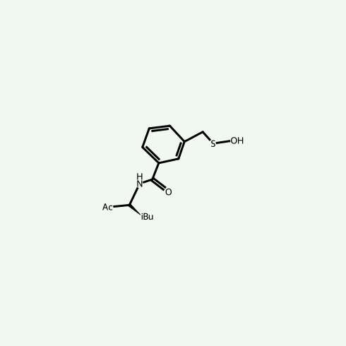 CC[C@H](C)C(NC(=O)c1cccc(CSO)c1)C(C)=O